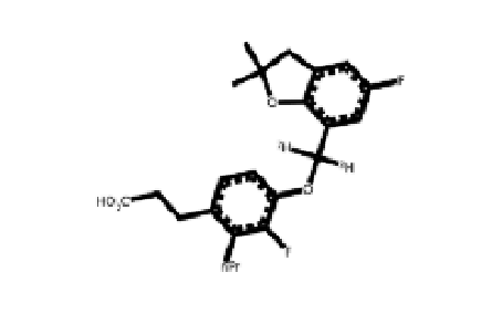 [2H]C([2H])(Oc1ccc(CCC(=O)O)c(CCC)c1F)c1cc(F)cc2c1OC(C)(C)C2